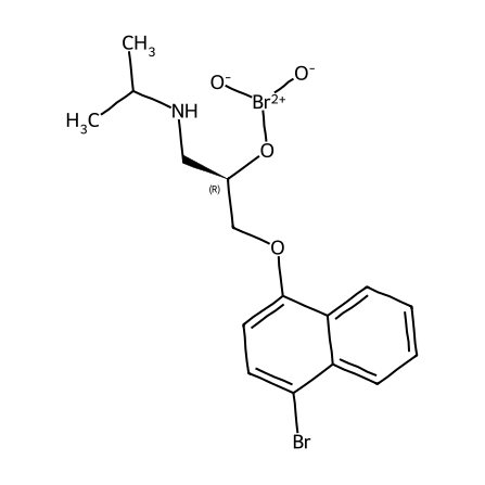 CC(C)NC[C@H](COc1ccc(Br)c2ccccc12)O[Br+2]([O-])[O-]